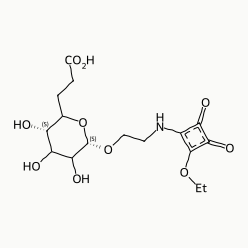 CCOc1c(NCCO[C@H]2OC(CCC(=O)O)[C@@H](O)C(O)C2O)c(=O)c1=O